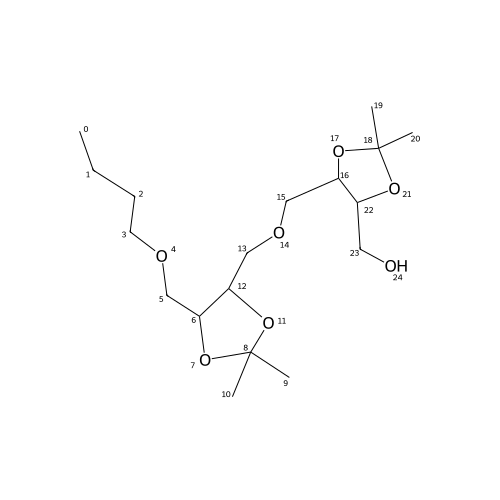 CCCCOCC1OC(C)(C)OC1COCC1OC(C)(C)OC1CO